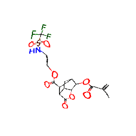 C=C(C)C(=O)OC1C2CC3C1OC(=O)C3C2C(=O)OCCNS(=O)(=O)C(F)(F)F